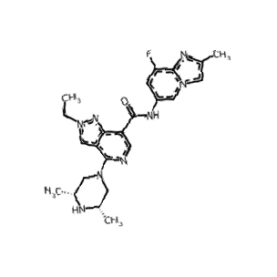 CCn1cc2c(N3C[C@@H](C)N[C@@H](C)C3)ncc(C(=O)Nc3cc(F)c4nc(C)cn4c3)c2n1